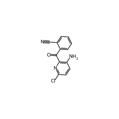 N#Cc1ccccc1C(=O)c1nc(Cl)ccc1N